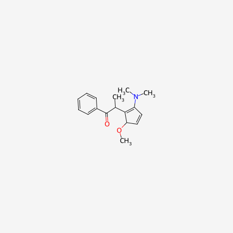 COC1C=CC(N(C)C)=C1C(C)C(=O)c1ccccc1